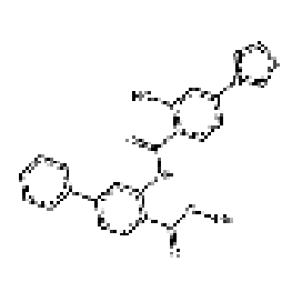 CC(C)(C)OC(=O)c1ccc(-c2ccccc2)cc1NC(=O)c1ccc(-n2ccnc2)cc1O